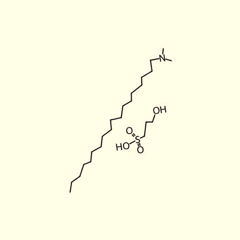 CCCCCCCCCCCCCCCCCCN(C)C.O=S(=O)(O)CCCO